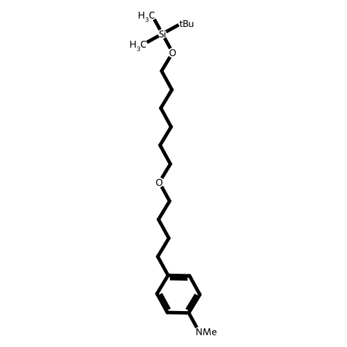 CNc1ccc(CCCCOCCCCCCO[Si](C)(C)C(C)(C)C)cc1